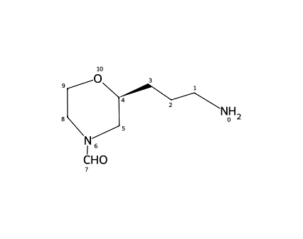 NCCC[C@H]1CN(C=O)CCO1